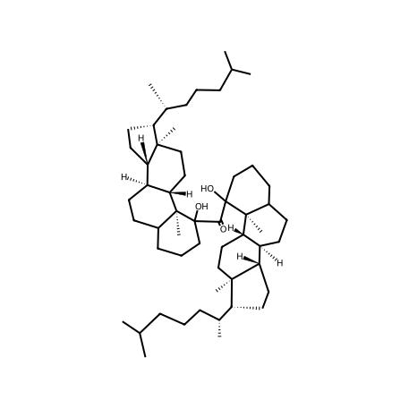 CC(C)CCC[C@@H](C)[C@H]1CC[C@H]2[C@@H]3CCC4CCCC(O)(C(=O)C5(O)CCCC6CC[C@H]7[C@@H]8CC[C@H]([C@H](C)CCCC(C)C)[C@@]8(C)CC[C@@H]7[C@]65C)[C@]4(C)[C@H]3CC[C@]12C